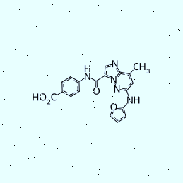 Cc1cc(Nc2ccco2)nn2c(C(=O)Nc3ccc(C(=O)O)cc3)cnc12